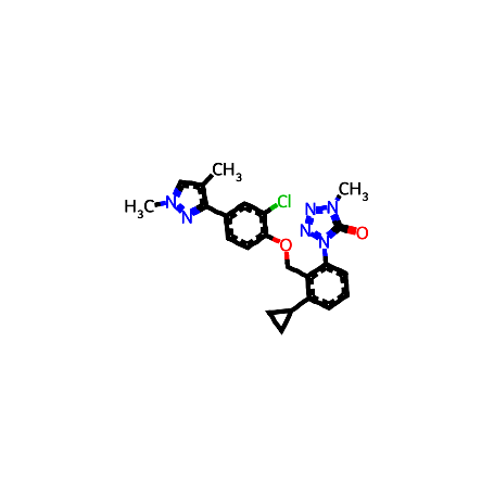 Cc1cn(C)nc1-c1ccc(OCc2c(C3CC3)cccc2-n2nnn(C)c2=O)c(Cl)c1